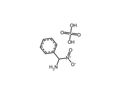 NC(c1ccccc1)[N+](=O)[O-].O=S(=O)(O)O